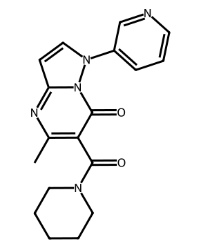 Cc1nc2ccn(-c3cccnc3)n2c(=O)c1C(=O)N1CCCCC1